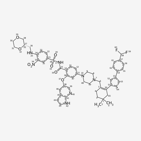 CC1(C)CCC(CN2CCN(c3ccc(C(=O)NS(=O)(=O)c4ccc(NC[C@H]5COCCO5)c([N+](=O)[O-])c4)c(Oc4cnc5[nH]ccc5c4)c3)CC2)=C(c2cc(-c3ccc(C(F)F)cc3)cs2)C1